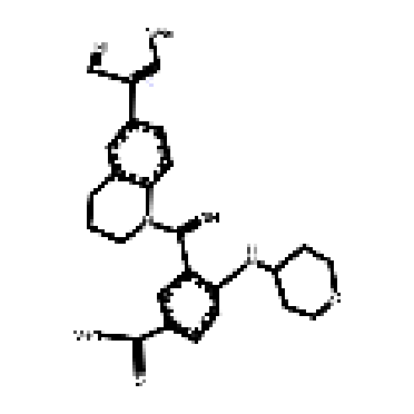 CN/C=C(\C=N)c1ccc2c(c1)CCCN2C(=N)c1cc(C(=O)NC)ccc1NC1CCOCC1